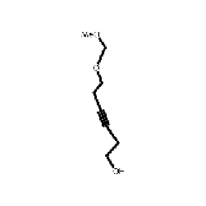 COCOCCC#CCCO